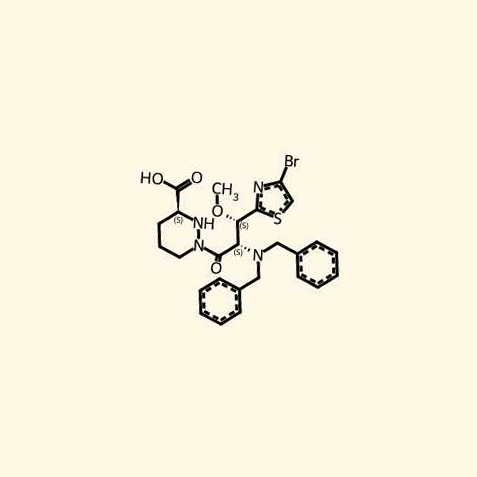 CO[C@H](c1nc(Br)cs1)[C@@H](C(=O)N1CCC[C@@H](C(=O)O)N1)N(Cc1ccccc1)Cc1ccccc1